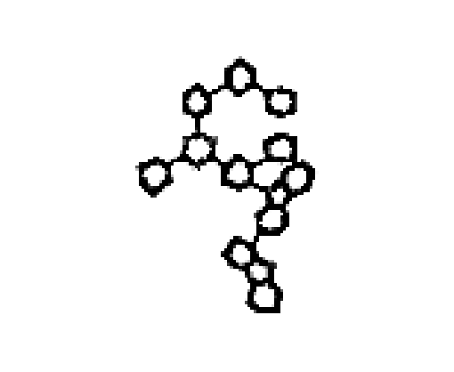 c1ccc(-c2cccc(-c3cccc(-c4nc(-c5ccccc5)nc(-c5ccc(-n6c7ccccc7c7ccc(-c8cccc9c8oc8ccccc89)cc76)c(-c6ccccc6)c5)n4)c3)c2)cc1